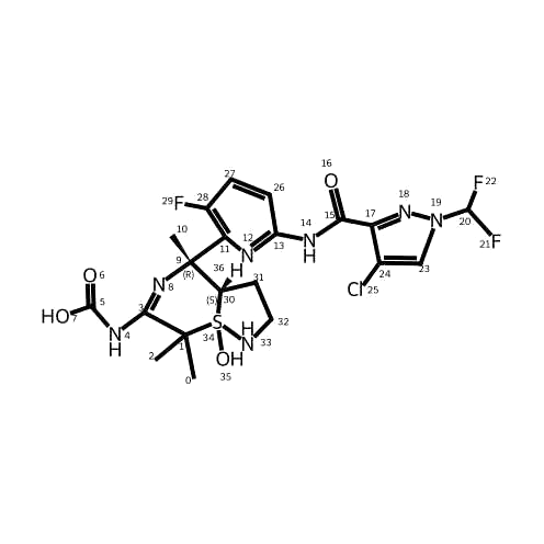 CC1(C)C(NC(=O)O)=N[C@](C)(c2nc(NC(=O)c3nn(C(F)F)cc3Cl)ccc2F)[C@@H]2CCNS21O